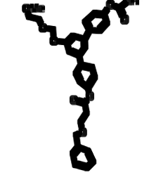 CCCC(=O)Oc1ccc(-c2cc(OCOCCOC)cc(-c3ccc(OC(=O)CCOCc4ccccc4)cc3)c2)cc1